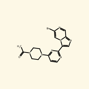 CC(=O)N1CCN(c2ccnc(-c3cnc4cnc(Br)cn34)n2)CC1